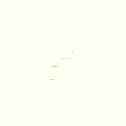 COC(C)(C)C(=O)Nc1ccc(C)cc1